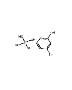 O[Si](O)(O)O.Oc1cccc(O)c1